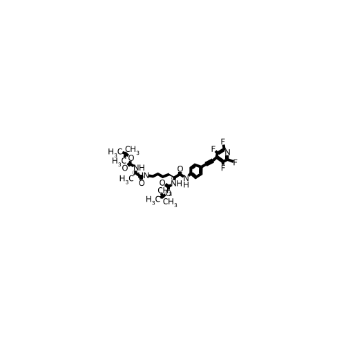 C[C@H](NC(=O)OC(C)(C)C)C(=O)NCCCC[C@H](NC(=O)OC(C)(C)C)C(=O)Nc1ccc(C#Cc2c(F)c(F)nc(F)c2F)cc1